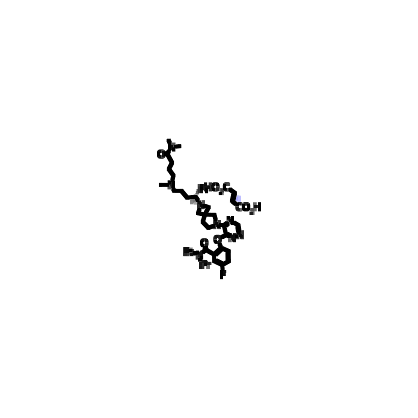 CCN(C(=O)c1cc(F)ccc1Oc1nncnc1N1CCC2(C1)CN([C@H](CCCN(C)CCCC(=O)N(C)C)C(C)C)C2)C(C)C.O=C(O)/C=C/C(=O)O